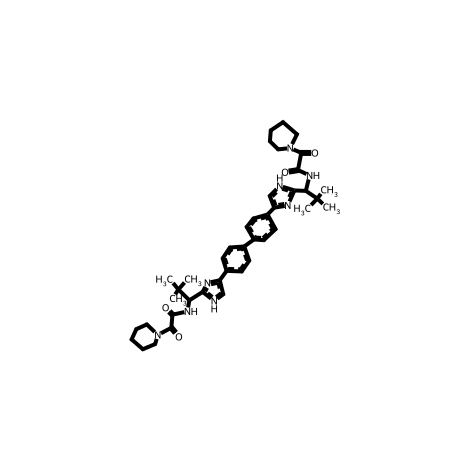 CC(C)(C)C(NC(=O)C(=O)N1CCCCC1)c1nc(-c2ccc(-c3ccc(-c4c[nH]c(C(NC(=O)C(=O)N5CCCCC5)C(C)(C)C)n4)cc3)cc2)c[nH]1